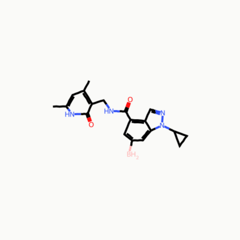 Bc1cc(C(=O)NCc2c(C)cc(C)[nH]c2=O)c2cnn(C3CC3)c2c1